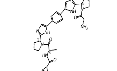 C[C@@H](NC(=O)C1CC1)C(=O)N1CCC[C@H]1c1ncc(-c2ccc(-c3cnc([C@@H]4CCCN4C(=O)CN)[nH]3)cc2)[nH]1